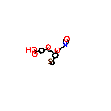 O=C(O)c1ccc(C(=O)C=Cc2cc(-c3cccs3)ccc2OCCCN2CCOCC2)cc1